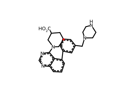 O=C(O)C1CCCN(c2ncnc3cccc(-c4cccc(CN5CCNCC5)c4)c23)C1